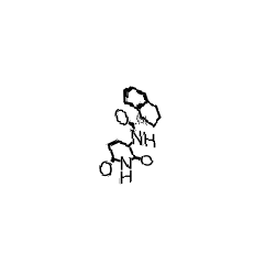 O=C1CCC(NC(=O)[C@H]2CCCc3ccccc32)C(=O)N1